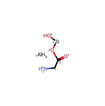 NCC(=O)[O][Zr][OH].[AlH3]